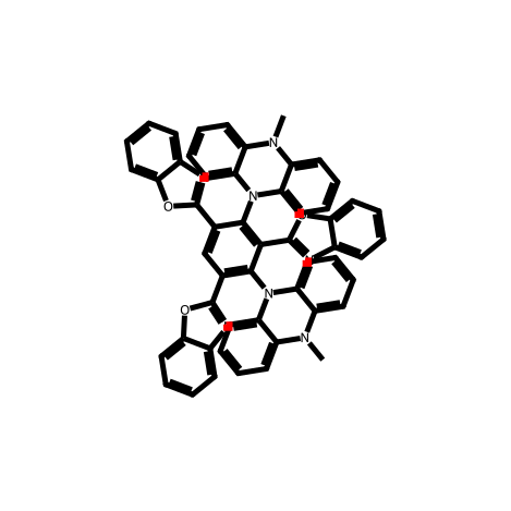 CN1c2ccccc2N(c2c(-c3nc4ccccc4o3)cc(-c3nc4ccccc4o3)c(N3c4ccccc4N(C)c4ccccc43)c2-c2nc3ccccc3o2)c2ccccc21